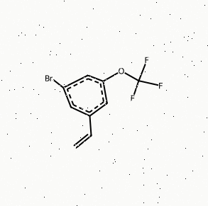 C=Cc1cc(Br)cc(OC(F)(F)F)c1